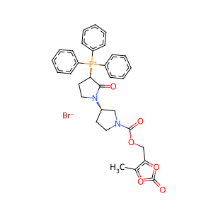 Cc1oc(=O)oc1COC(=O)N1CC[C@@H](N2CC[C@@H]([P+](c3ccccc3)(c3ccccc3)c3ccccc3)C2=O)C1.[Br-]